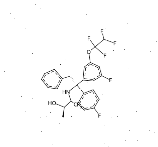 C[C@@H](O)C(N[C@](Cc1ccccc1)(c1ccc(F)cc1)c1cc(F)cc(OC(F)(F)C(F)F)c1)C(F)(F)F